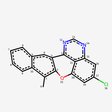 Cc1c2c(cc3ccccc13)-c1ncnc3cc(Cl)cc(c13)O2